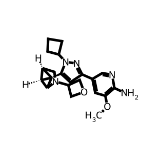 COc1cc(-c2cc([C@@]34C5[C@H]3[C@H]4CN5C3COC3)n(C3CCC3)n2)cnc1N